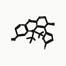 CC(C)(C)[Si]1(C(C)(C)C)C2=C(c3ccc(I)s3)C(=O)C=CC2=Nc2ccc(O)cc21